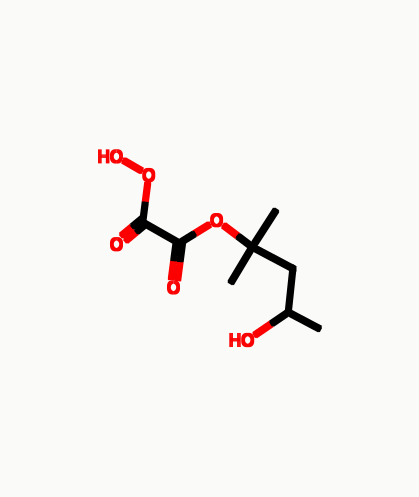 CC(O)CC(C)(C)OC(=O)C(=O)OO